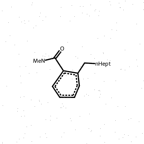 CCCCCCCCc1ccccc1C(=O)NC